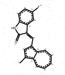 Cc1cc(/C=C2\C(=O)Nc3ccc(F)cc32)c2cccccc1-2